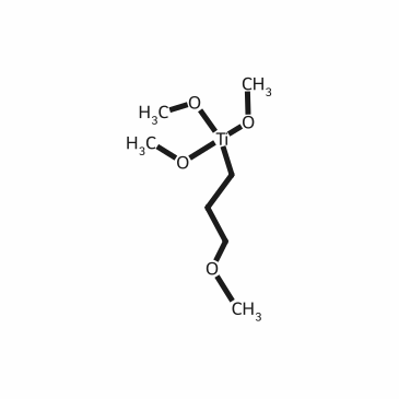 COCC[CH2][Ti]([O]C)([O]C)[O]C